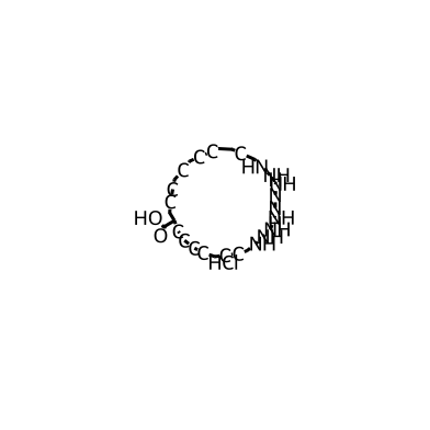 Cl.O=C(O)C1CCCCCCCCCCCCNNNNNNNNNCCCCCCCC1